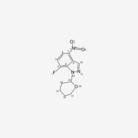 O=[N+]([O-])c1ccc(F)c2c1cnn2C1CCCCO1